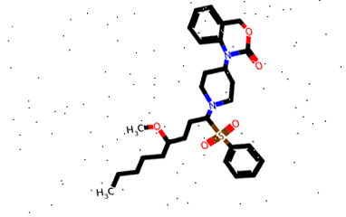 CCCCCC(CCC(N1CCC(N2C(=O)OCc3ccccc32)CC1)S(=O)(=O)c1ccccc1)OC